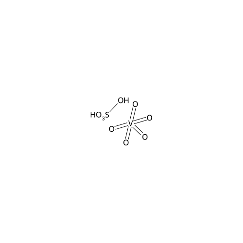 O=S(=O)(O)O.[O]=[V](=[O])(=[O])(=[O])=[O]